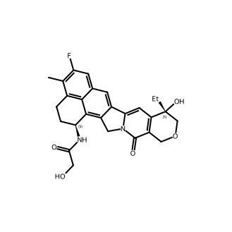 CC[C@@]1(O)COCc2c1cc1n(c2=O)Cc2c-1cc1cc(F)c(C)c3c1c2[C@@H](NC(=O)CO)CC3